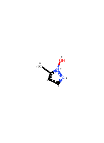 CCCc1ccnn1O